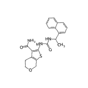 CC(NC(=O)Nc1sc2c(c1C(N)=O)CCOC2)c1cccc2ccccc12